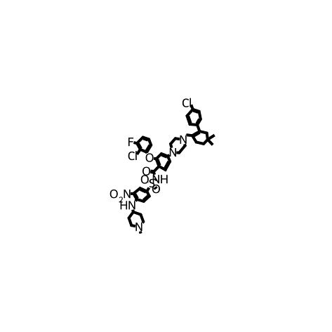 CN1CCC(Nc2ccc(S(=O)(=O)NC(=O)c3ccc(N4CCN(CC5=C(c6ccc(Cl)cc6)CC(C)(C)CC5)CC4)cc3Oc3cccc(F)c3Cl)cc2[N+](=O)[O-])CC1